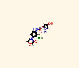 Cl.O=C(Nc1ccc(N2CCOCC2=O)cc1)O[C@@H]1C[C@@H](O)CN1